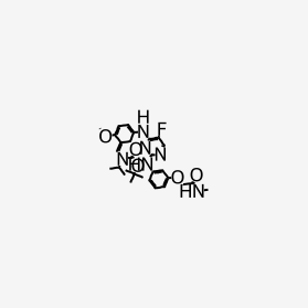 CNC(=O)COc1cccc(Nc2ncc(F)c(NC3=CC=C(OC)C(=CN(C(=O)OC(C)(C)C)C(C)C)C3)n2)c1